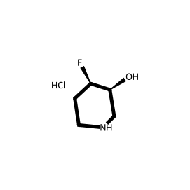 Cl.O[C@H]1CNCC[C@H]1F